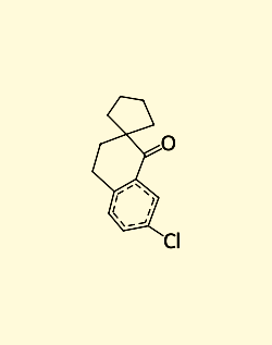 O=C1c2cc(Cl)ccc2CCC12CCCC2